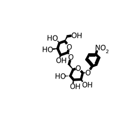 O=[N+]([O-])c1ccc(O[C@H]2O[C@H](CO[C@@H]3O[C@H](CO)[C@@H](O)[C@H](O)[C@@H]3O)[C@@H](O)[C@H](O)[C@@H]2O)cc1